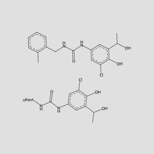 CCCCCNC(=O)Nc1cc(Cl)c(O)c(C(C)O)c1.Cc1ccccc1CNC(=O)Nc1cc(Cl)c(O)c(C(C)O)c1